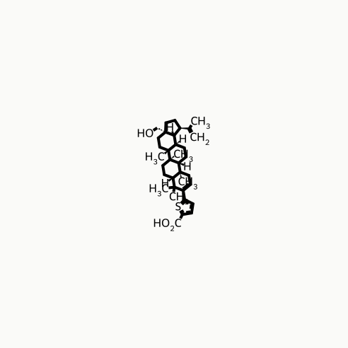 C=C(C)[C@@H]1CC[C@]2(CO)CC[C@]3(C)[C@H](CC[C@@H]4[C@@]5(C)CC=C(c6ccc(C(=O)O)s6)C(C)(C)[C@@H]5CC[C@]43C)[C@@H]12